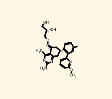 COc1cccc(-c2cc(F)ccc2[C@H]2C/C(=N\OC[C@@H](O)CO)c3c(C)nc(N)nc3C2)n1